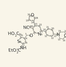 CCOC(=O)Nc1cc(COc2nc(-c3ccc(N4CCOCC4)cc3)cc(-c3ccoc3)c2C#N)c(C(=O)O)s1